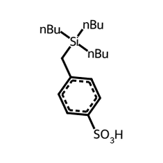 CCCC[Si](CCCC)(CCCC)Cc1ccc(S(=O)(=O)O)cc1